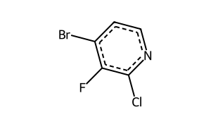 Fc1c(Br)ccnc1Cl